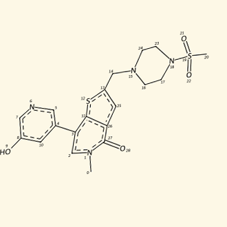 Cn1cc(-c2cncc(O)c2)c2sc(CN3CCN(S(C)(=O)=O)CC3)cc2c1=O